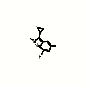 Cc1cc(F)c2nn(C)c(C3CC3)c2c1